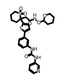 O=C(CC1(c2ccc(-c3cccc(NC(=O)Nc4cccnc4)c3)s2)CCCCS1(=O)=O)NOC1CCCCO1